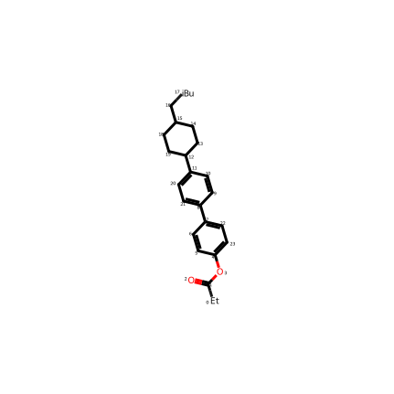 CCC(=O)Oc1ccc(-c2ccc(C3CCC(CC(C)CC)CC3)cc2)cc1